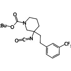 CC(C)(C)OC(=O)N1CCCC(CCc2cccc(C(F)(F)F)c2)(N=C=O)C1